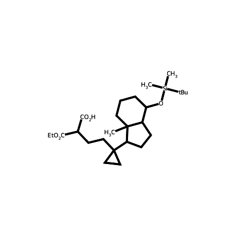 CCOC(=O)C(CCC1(C2CCC3C(O[Si](C)(C)C(C)(C)C)CCCC32C)CC1)C(=O)O